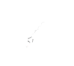 CCCCCCCCc1ccc(OC(F)F)cc1